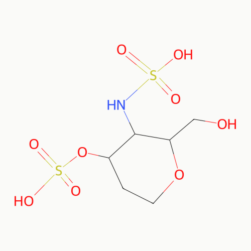 O=S(=O)(O)NC1C(CO)OCCC1OS(=O)(=O)O